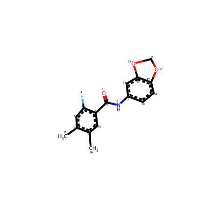 Cc1cc(F)c(C(=O)Nc2ccc3c(c2)OCO3)cc1C